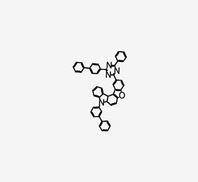 C1=CC2C(c3ccccc3N2c2cccc(-c3ccccc3)c2)c2c1oc1ccc(-c3nc(-c4ccccc4)nc(-c4ccc(-c5ccccc5)cc4)n3)cc21